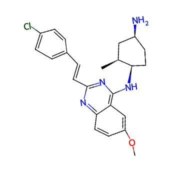 COc1ccc2nc(C=Cc3ccc(Cl)cc3)nc(N[C@@H]3CC[C@H](N)C[C@@H]3C)c2c1